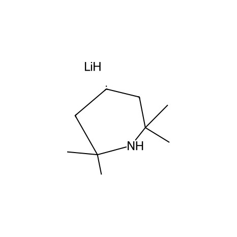 CC1(C)C[CH]CC(C)(C)N1.[LiH]